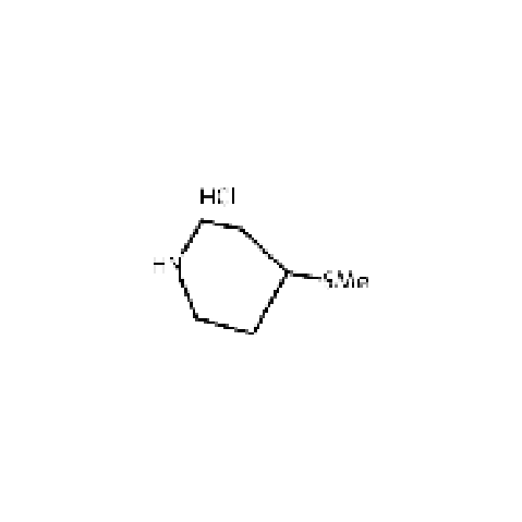 CSC1CCNCC1.Cl